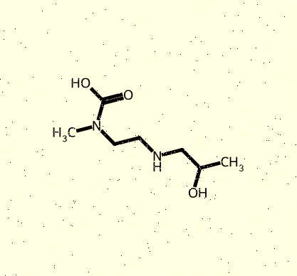 CC(O)CNCCN(C)C(=O)O